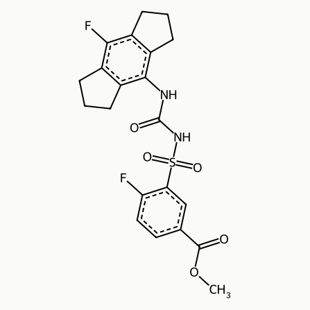 COC(=O)c1ccc(F)c(S(=O)(=O)NC(=O)Nc2c3c(c(F)c4c2CCC4)CCC3)c1